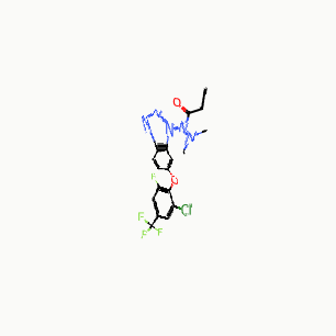 CCC(=O)N(N(C)C)n1nnc2ccc(Oc3c(F)cc(C(F)(F)F)cc3Cl)cc21